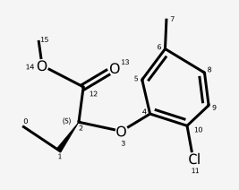 CC[C@H](Oc1cc(C)ccc1Cl)C(=O)OC